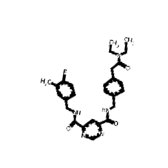 CCN(CC)C(=O)Cc1ccc(CNC(=O)c2cc(C(=O)NCc3ccc(F)c(C)c3)ncn2)cc1